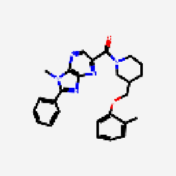 Cc1ccccc1OCC1CCCN(C(=O)c2cnc3c(n2)nc(-c2ccccc2)n3C)C1